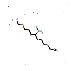 CCSCCCC(CCCSCC)[SiH2]Cl